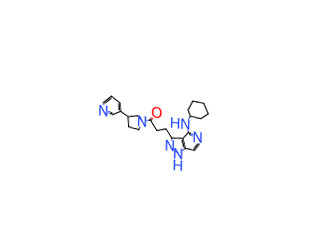 O=C(CCc1n[nH]c2ccnc(NC3CCCCC3)c12)N1CCC(c2cccnc2)C1